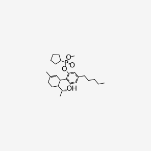 C=C(C)C1CCC(C)=CC1c1c(O)cc(CCCCC)cc1OP(=O)(OC)C1CCCC1